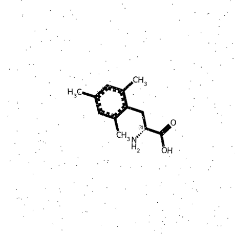 Cc1cc(C)c(C[C@@H](N)C(=O)O)c(C)c1